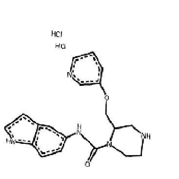 Cl.Cl.O=C(Nc1ccc2[nH]ccc2c1)N1CCNCC1COc1cccnc1